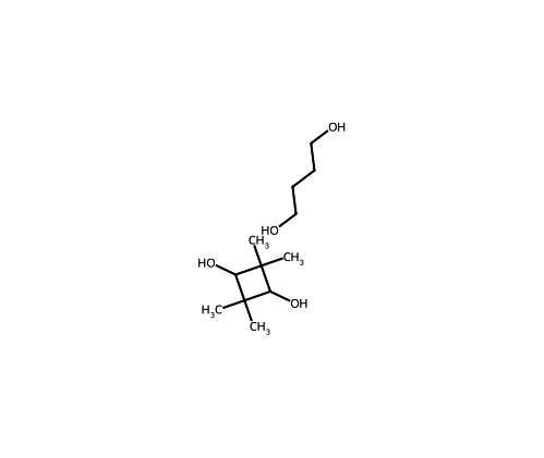 CC1(C)C(O)C(C)(C)C1O.OCCCCO